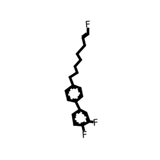 FC=CCCCCCCc1ccc(-c2ccc(F)c(F)c2)cc1